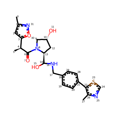 Cc1cc([C@H](C)C(=O)N2C[C@H](O)C[C@H]2C(O)NCc2ccc(-c3scnc3C)cc2)on1